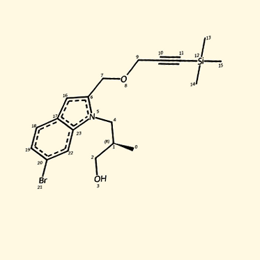 C[C@@H](CO)Cn1c(COCC#C[Si](C)(C)C)cc2ccc(Br)cc21